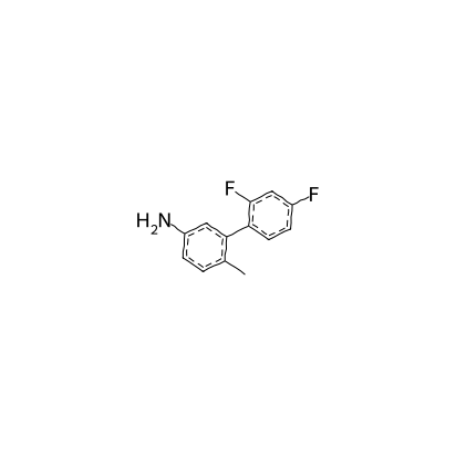 Cc1ccc(N)cc1-c1ccc(F)cc1F